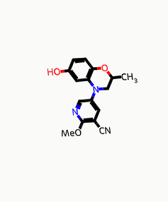 COc1ncc(N2CC(C)Oc3ccc(O)cc32)cc1C#N